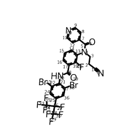 N#CCCN(C(=O)c1ccncc1)c1cccc(C(=O)Nc2c(Br)cc(C(F)(C(F)(F)F)C(F)(F)F)cc2Br)c1F